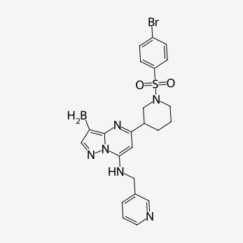 Bc1cnn2c(NCc3cccnc3)cc(C3CCCN(S(=O)(=O)c4ccc(Br)cc4)C3)nc12